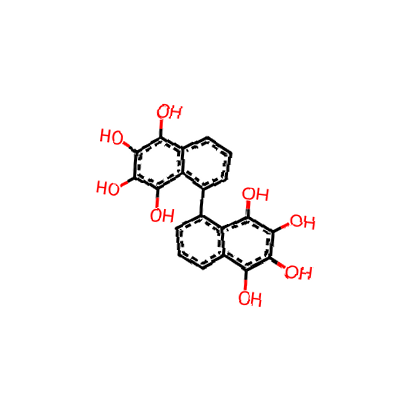 Oc1c(O)c(O)c2c(-c3cccc4c(O)c(O)c(O)c(O)c34)cccc2c1O